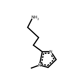 Cn1ccnc1CCCN